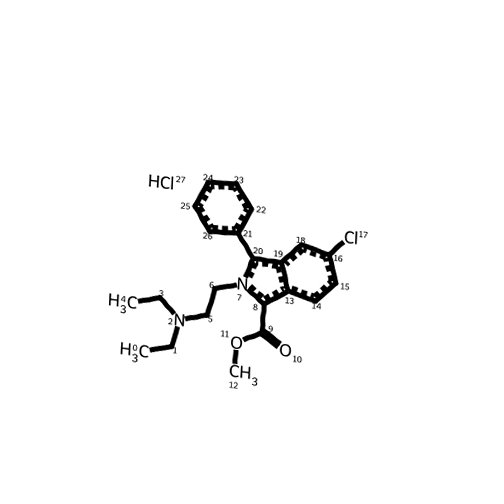 CCN(CC)CCn1c(C(=O)OC)c2ccc(Cl)cc2c1-c1ccccc1.Cl